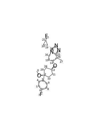 CO[C@]1(c2ccc(F)cc2)CC[C@H](Oc2ccn3c([C@@H]4C[C@H]4F)nnc3c2C)CC1